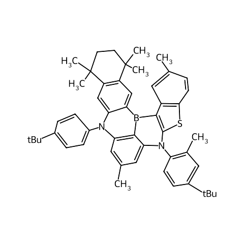 Cc1cc2c3c(c1)N(c1ccc(C(C)(C)C)cc1C)c1sc4ccc(C)cc4c1B3c1cc3c(cc1N2c1ccc(C(C)(C)C)cc1)C(C)(C)CCC3(C)C